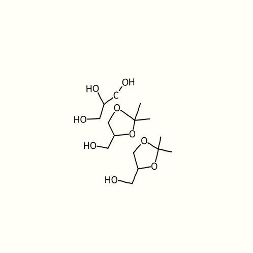 CC1(C)OCC(CO)O1.CC1(C)OCC(CO)O1.OCC(O)CO